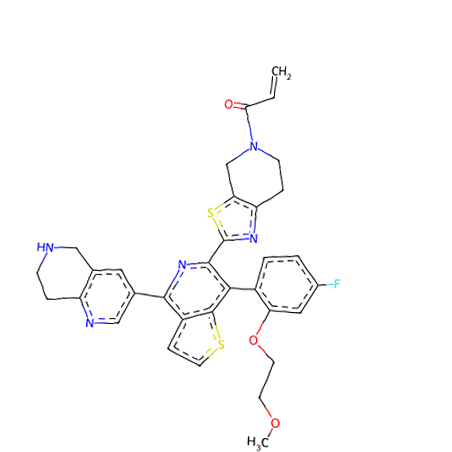 C=CC(=O)N1CCc2nc(-c3nc(-c4cnc5c(c4)CNCC5)c4ccsc4c3-c3ccc(F)cc3OCCOC)sc2C1